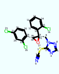 N#CSc1ncnn1C[C@]1(c2ccccc2Cl)O[C@@H]1c1ccc(Cl)cc1Cl